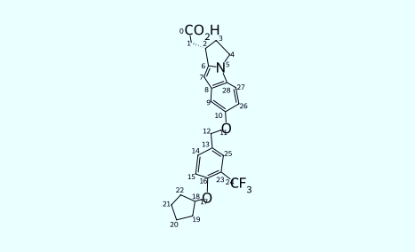 O=C(O)C[C@@H]1CCn2c1cc1cc(OCc3ccc(OC4CCCC4)c(C(F)(F)F)c3)ccc12